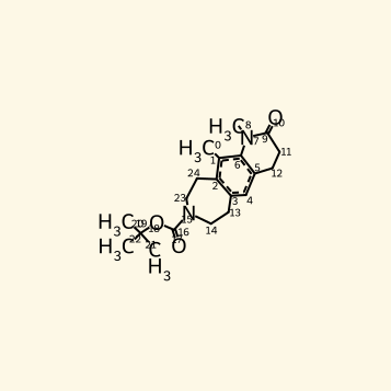 Cc1c2c(cc3c1N(C)C(=O)CC3)CCN(C(=O)OC(C)(C)C)CC2